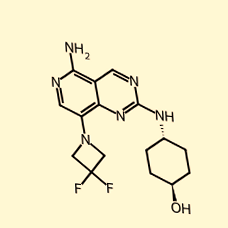 Nc1ncc(N2CC(F)(F)C2)c2nc(N[C@H]3CC[C@H](O)CC3)ncc12